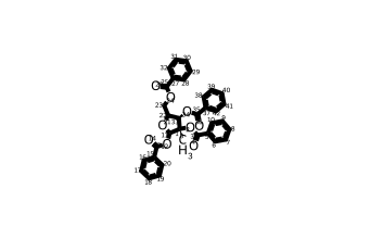 C[C@]1(OC(=O)c2ccccc2)C(OC(=O)c2ccccc2)OC(COC(=O)c2ccccc2)[C@H]1OC(=O)c1ccccc1